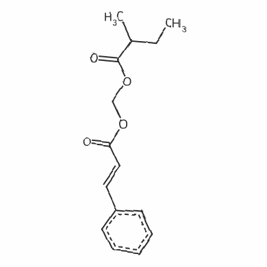 CCC(C)C(=O)OCOC(=O)C=Cc1ccccc1